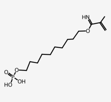 C=C(C)C(=N)OCCCCCCCCCCOP(=O)(O)O